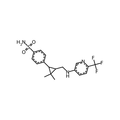 CC1(C)C(CNc2ccc(C(F)(F)F)nc2)C1c1ccc(S(N)(=O)=O)cc1